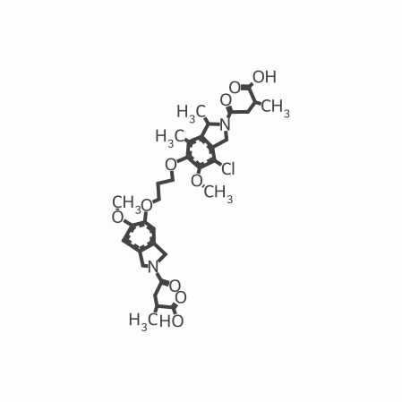 COc1cc2c(cc1OCCCOc1c(C)c3c(c(Cl)c1OC)CN(C(=O)CC(C)C(=O)O)C3C)CN(C(=O)CC(C)C(=O)O)C2